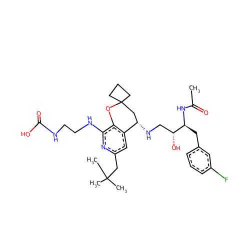 CC(=O)N[C@@H](Cc1cccc(F)c1)[C@H](O)CN[C@H]1CC2(CCC2)Oc2c1cc(CC(C)(C)C)nc2NCCNC(=O)O